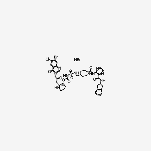 Br.O=C(C[C@@H]1NCCC[C@H]1OC(=O)NS(=O)(=O)NCC1CCN(C(=O)Nc2nccnc2C(=O)NC2Cc3ccccc3C2)CC1)Cn1cnc2cc(Br)c(Cl)cc2c1=O